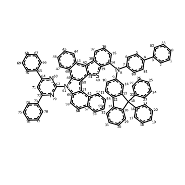 c1ccc(-c2ccc(N(c3ccc4c(c3)C(c3ccccc3)(c3ccccc3)c3ccccc3-4)c3cccc4c3sc3c4c4ccccc4c4c3c3c5ccccc5ccc3n4-c3nc(-c4ccccc4)cc(-c4ccccc4)n3)cc2)cc1